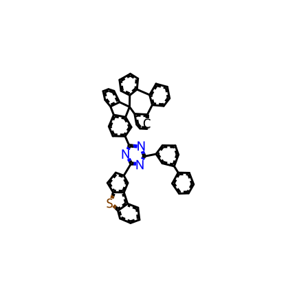 c1ccc(-c2cccc(-c3nc(-c4ccc5c(c4)C4(c6ccccc6-c6ccccc6-c6ccccc64)c4ccccc4-5)nc(-c4ccc5sc6ccccc6c5c4)n3)c2)cc1